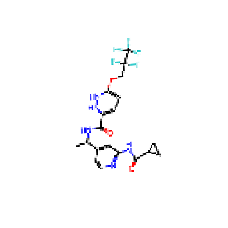 CC(NC(=O)C1=CC=C(OCC(F)(F)C(F)(F)F)NN1)c1ccnc(NC(=O)C2CC2)c1